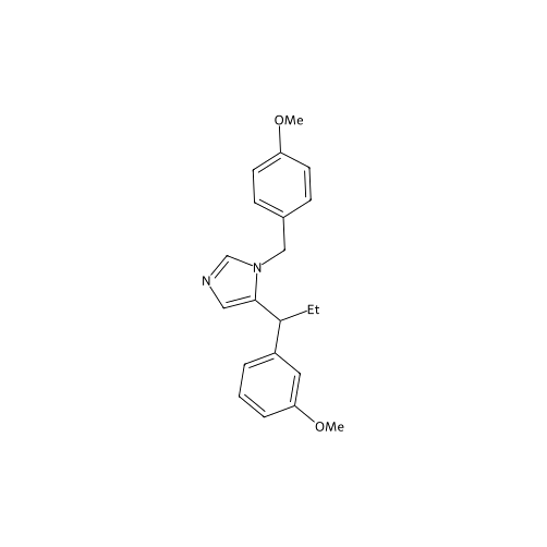 [CH2]CC(c1cccc(OC)c1)c1cncn1Cc1ccc(OC)cc1